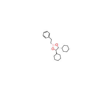 c1ccc(CCB2O[C@H](C3CCCCC3)[C@@H](C3CCCCC3)O2)cc1